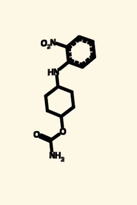 NC(=O)OC1CCC(Nc2ccccc2[N+](=O)[O-])CC1